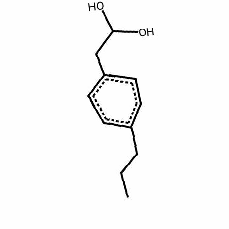 CCCc1ccc(CC(O)O)cc1